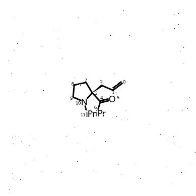 C=CC[C@]1(C(=O)C(C)C)CCCN1C(C)C